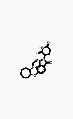 CC(C)CN[C@@H]1CCCCC[C@@H]1Oc1ccc2c(c1)CN(C1CCC(=O)NC1=O)C2=O